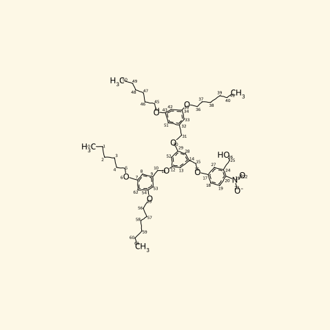 CCCCCCOc1cc(COc2cc(COc3ccc([N+](=O)[O-])c(CO)c3)cc(OCc3cc(OCCCCCC)cc(OCCCCCC)c3)c2)cc(OCCCCCC)c1